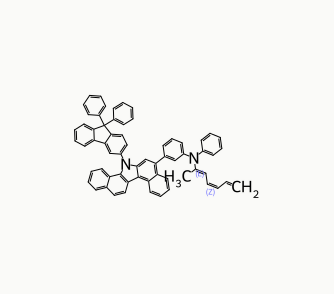 C=C/C=C\C=C(/C)N(c1ccccc1)c1cccc(-c2cc3c(c4ccccc24)c2ccc4ccccc4c2n3-c2ccc3c(c2)-c2ccccc2C3(c2ccccc2)c2ccccc2)c1